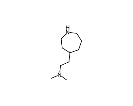 CN(C)CC[C]1CCCNCC1